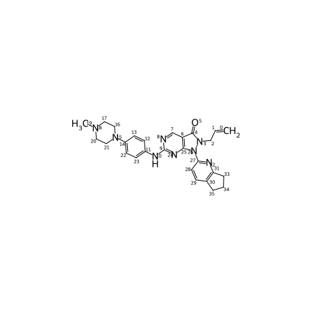 C=CCn1c(=O)c2cnc(Nc3ccc(N4CCN(C)CC4)cc3)nc2n1-c1ccc2c(n1)CCC2